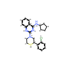 Clc1ccccc1C1CN(c2nc(NC3CCCC3)c3ccccc3n2)CCS1